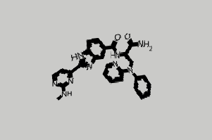 CNc1nccc(-c2nc3cc(C(=O)NC(CN(c4ccccc4)c4ccccn4)C(N)=O)ccc3[nH]2)n1